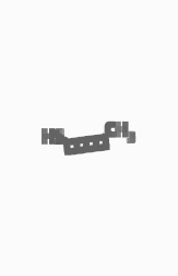 CC1CC2C1C1C3C(S)CC3C21